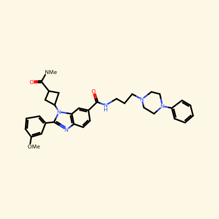 CNC(=O)C1CC(n2c(-c3cccc(OC)c3)nc3ccc(C(=O)NCCCN4CCN(c5ccccc5)CC4)cc32)C1